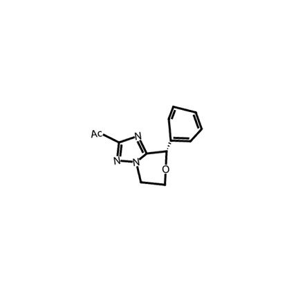 CC(=O)c1nc2n(n1)CCO[C@H]2c1ccccc1